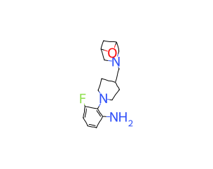 Nc1cccc(F)c1N1CCC(CN2CC3CC(C2)O3)CC1